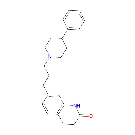 O=C1CCc2ccc(CCCN3CCC(c4ccccc4)CC3)cc2N1